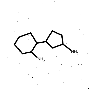 N[C]1CCCCC1C1CCC(N)C1